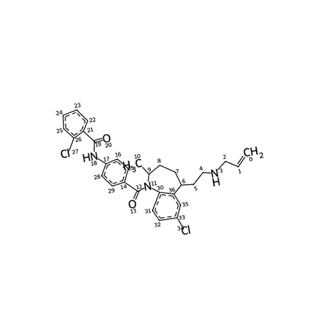 C=CCNCCC1CCC(C)N(C(=O)c2ccc(NC(=O)c3ccccc3Cl)cc2)c2ccc(Cl)cc21